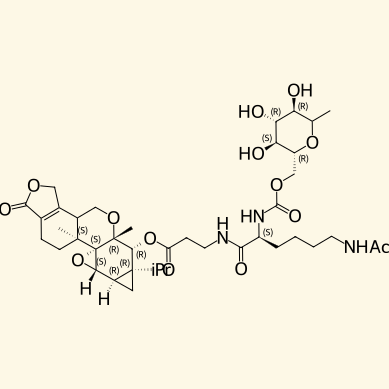 CC(=O)NCCCC[C@H](NC(=O)OC[C@H]1OC(C)[C@H](O)[C@@H](O)[C@@H]1O)C(=O)NCCC(=O)O[C@@H]1[C@@]2(C(C)C)C[C@H]2[C@@H]2O[C@@]23[C@@]2(C)CCC4=C(COC4=O)C2CO[C@]13C